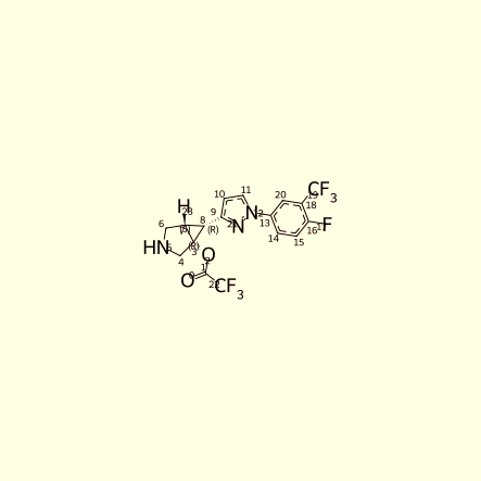 O=C(O[C@]12CNC[C@@H]1[C@@H]2c1ccn(-c2ccc(F)c(C(F)(F)F)c2)n1)C(F)(F)F